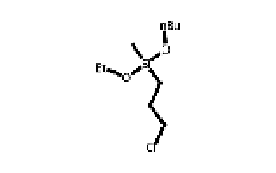 CCCCO[Si](C)(CCCCl)OCC